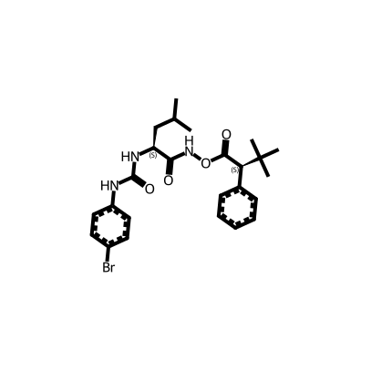 CC(C)C[C@H](NC(=O)Nc1ccc(Br)cc1)C(=O)NOC(=O)[C@H](c1ccccc1)C(C)(C)C